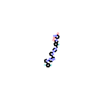 O=C1CCC(N2Cc3c(ccc(CN4CCN(c5cccc(-c6cnn7ccc(N8CCCC8c8cc(F)ccc8F)nc67)n5)CC4)c3F)C2=O)C(=O)N1